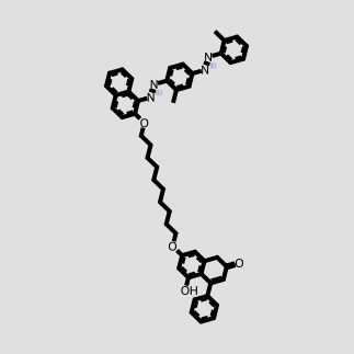 Cc1ccccc1/N=N/c1ccc(/N=N/c2c(OCCCCCCCCCCOc3cc(O)c4c(c3)CC(=O)C=C4c3ccccc3)ccc3ccccc23)c(C)c1